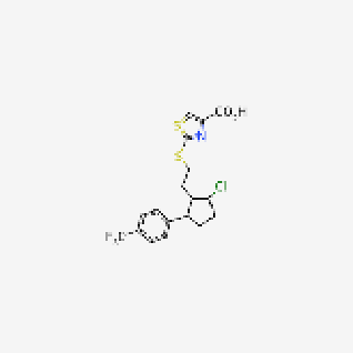 O=C(O)c1csc(SCCC2C(Cl)CCC2c2ccc(C(F)(F)F)cc2)n1